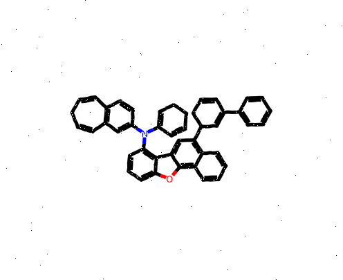 C1=Cc2ccc(N(C3=CCCC=C3)c3cccc4oc5c6ccccc6c(C6C=C(c7ccccc7)C=CC6)cc5c34)cc2C=CC1